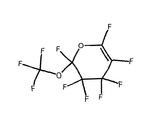 FC1=C(F)C(F)(F)C(F)(F)C(F)(OC(F)(F)F)O1